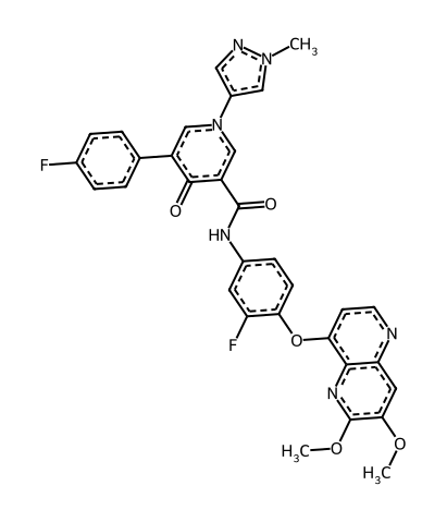 COc1cc2nccc(Oc3ccc(NC(=O)c4cn(-c5cnn(C)c5)cc(-c5ccc(F)cc5)c4=O)cc3F)c2nc1OC